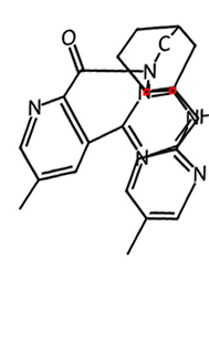 Cc1ccc(NC2CC3CCC2N(C(=O)c2ncc(C)cc2-c2ncccn2)C3)nc1